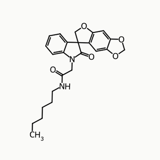 CCCCCCNC(=O)CN1C(=O)C2(COc3cc4c(cc32)OCO4)c2ccccc21